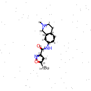 CN1CCc2ccc(NC(=O)c3cc(C(C)(C)C)on3)cc2C1